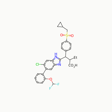 CCC(C(=O)O)C(c1ccc(S(=O)(=O)CC2CC2)cc1)c1nc2cc(-c3ccccc3OC(F)F)c(Cl)cc2[nH]1